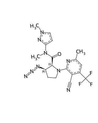 Cc1cc(C(F)(F)F)c(C#N)c(N2CC[C@@H](N=[N+]=[N-])[C@H]2C(=O)N(C)c2ccn(C)n2)n1